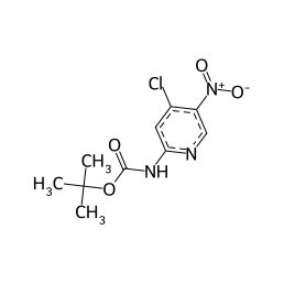 CC(C)(C)OC(=O)Nc1cc(Cl)c([N+](=O)[O-])cn1